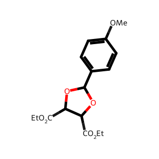 CCOC(=O)C1OC(c2ccc(OC)cc2)OC1C(=O)OCC